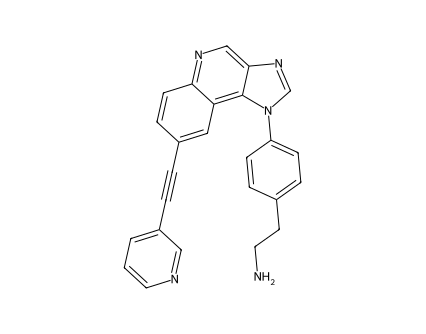 NCCc1ccc(-n2cnc3cnc4ccc(C#Cc5cccnc5)cc4c32)cc1